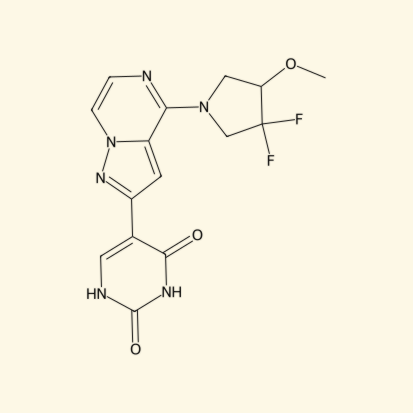 COC1CN(c2nccn3nc(-c4c[nH]c(=O)[nH]c4=O)cc23)CC1(F)F